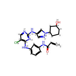 C=CC(=O)Nc1cccc(Nc2nc(Nc3cnn(C4CCCC(O)C4)c3)ncc2Cl)c1